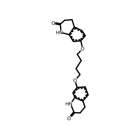 O=C1CCc2ccc(OCCCCOc3ccc4c(c3)NC(=O)CC4)cc2N1